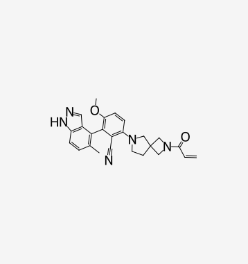 C=CC(=O)N1CC2(CCN(c3ccc(OC)c(-c4c(C)ccc5[nH]ncc45)c3C#N)C2)C1